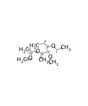 CCOC(CC)[C@H](OC)C(C)OC(C)OC